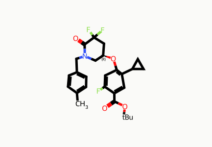 Cc1ccc(CN2C[C@H](Oc3cc(F)c(C(=O)OC(C)(C)C)cc3C3CC3)CC(F)(F)C2=O)cc1